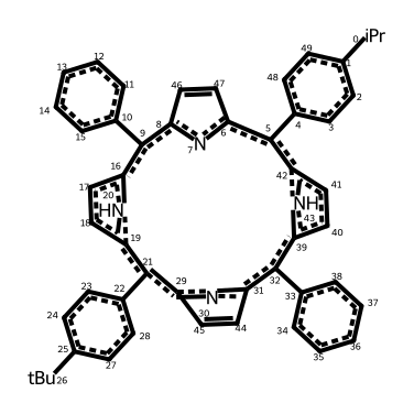 CC(C)c1ccc(-c2c3nc(c(-c4ccccc4)c4ccc([nH]4)c(-c4ccc(C(C)(C)C)cc4)c4nc(c(-c5ccccc5)c5ccc2[nH]5)C=C4)C=C3)cc1